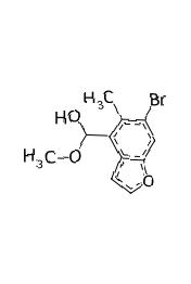 COC(O)c1c(C)c(Br)cc2occc12